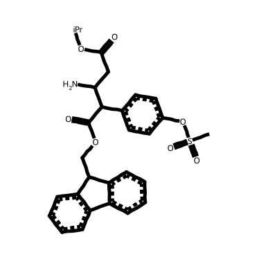 CC(C)OC(=O)CC(N)C(C(=O)OCC1c2ccccc2-c2ccccc21)c1ccc(OS(C)(=O)=O)cc1